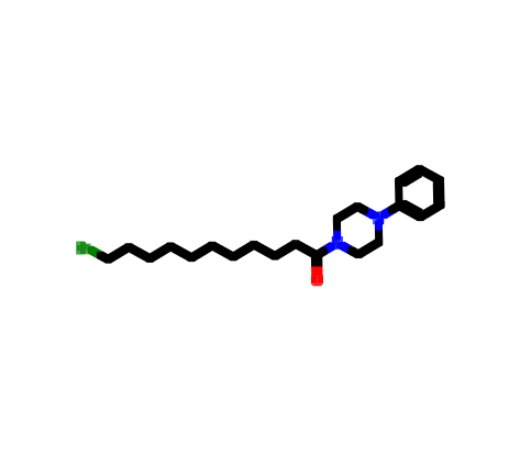 O=C(CCCCCCCCCCBr)N1CCN(c2ccccc2)CC1